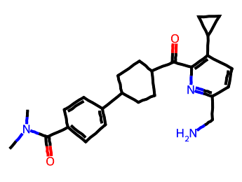 CN(C)C(=O)c1ccc(C2CCC(C(=O)c3nc(CN)ccc3C3CC3)CC2)cc1